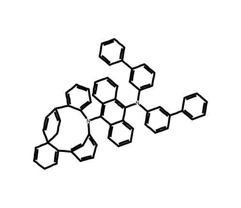 C1=CC23C=CC(=CC2)c2ccccc2N(c2c4ccccc4c(N(c4cccc(-c5ccccc5)c4)c4cccc(-c5ccccc5)c4)c4ccccc24)c2cccc(c2)C3=CC1